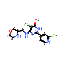 O=c1[nH]c(-c2ccnc(F)c2)nc(NCC2COCCN2)c1Cl